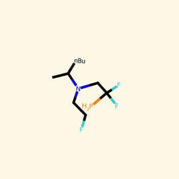 CCCCC(C)N(CCF)CC(F)(F)P